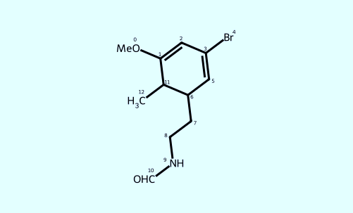 COC1=CC(Br)=CC(CCNC=O)C1C